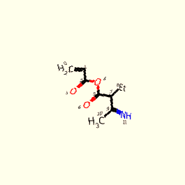 C=CC(=O)OC(=O)C(CC)C(C)=N